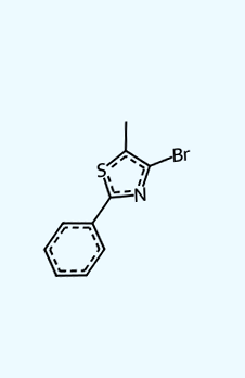 Cc1sc(-c2ccccc2)nc1Br